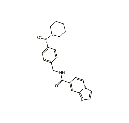 O=C(NCc1ccc([S+]([O-])N2CCCCC2)cc1)c1ccn2ccnc2c1